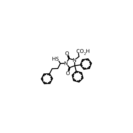 O=C(O)CN1C(=O)N(C(S)CCc2ccccc2)C(=O)C1(c1ccccc1)c1ccccc1